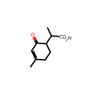 CC1=CC(=O)C(C(C)C(=O)O)CC1